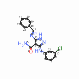 NC(=O)c1c(Nc2cccc(Cl)c2)n[nH]c1/N=C/c1ccccc1